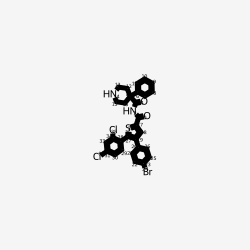 O=C(NC(=O)C1(c2ccccc2)CCNCC1)c1cc(-c2ccc(Br)cc2)c(-c2ccc(Cl)cc2Cl)s1